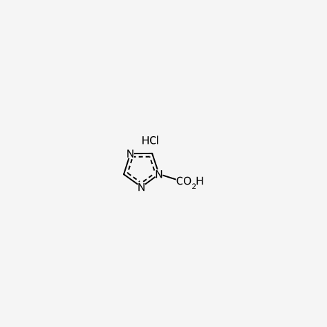 Cl.O=C(O)n1cncn1